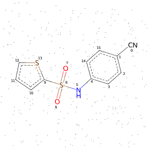 N#Cc1ccc(NS(=O)(=O)c2cccs2)cc1